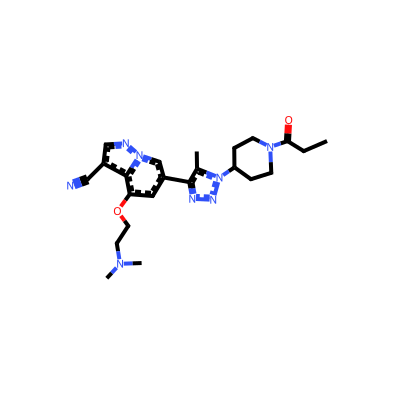 CCC(=O)N1CCC(n2nnc(-c3cc(OCCN(C)C)c4c(C#N)cnn4c3)c2C)CC1